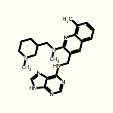 Cc1cccc2cc(CNc3ncnc4[nH]cnc34)c(N(C)CC3CCCN(C)C3)nc12